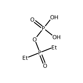 CCP(=O)(CC)OP(=O)(O)O